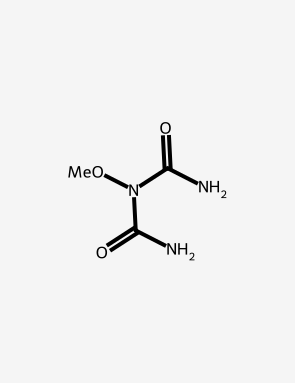 CON(C(N)=O)C(N)=O